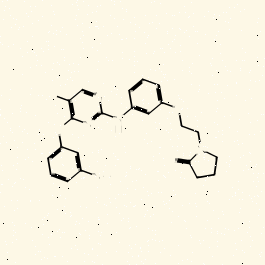 O=C1CCCN1CCOc1cccc(Nc2ncc(F)c(Oc3cccc([N+](=O)[O-])c3)n2)c1